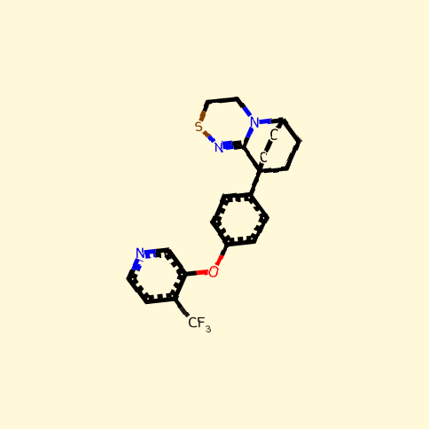 FC(F)(F)c1ccncc1Oc1ccc(C23CCC(CC2)N2CCSN=C23)cc1